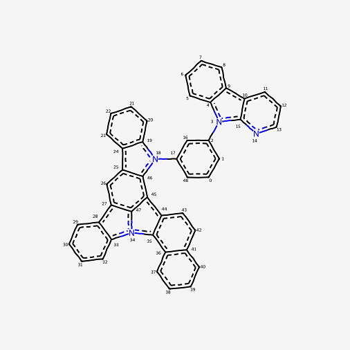 c1cc(-n2c3ccccc3c3cccnc32)cc(-n2c3ccccc3c3cc4c5ccccc5n5c6c7ccccc7ccc6c(c32)c45)c1